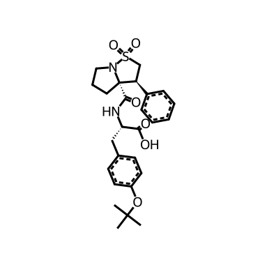 CC(C)(C)Oc1ccc(C[C@H](NC(=O)[C@]23CCCN2S(=O)(=O)C[C@H]3c2ccccc2)C(=O)O)cc1